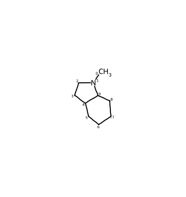 CN1CCC2CC[CH]CC21